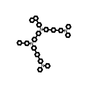 c1ccc(-c2ccc(N(c3ccc(-c4ccc(-c5ccc(N(c6ccccc6)c6ccccc6)cc5)cc4)cc3)c3ccc(-c4ccc(N(c5ccc(-c6ccc(-c7ccc(N(c8ccccc8)c8ccccc8)cc7)cc6)cc5)c5ccc(-c6cccc7ccccc67)cc5)cc4)cc3)cc2)cc1